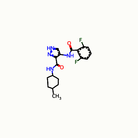 CC1CCC(NC(=O)c2n[nH]cc2NC(=O)c2c(F)cccc2F)CC1